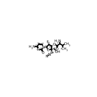 CC(C)C(N)C(=O)O[C@H]1[C@@H](F)[C@H](n2ccc(N)nc2=O)O[C@@]1(CO)N=[N+]=[N-]